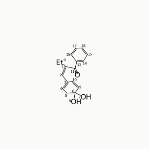 CCC(=CC1=CCC(O)(O)C=C1)C(=O)c1ccccc1